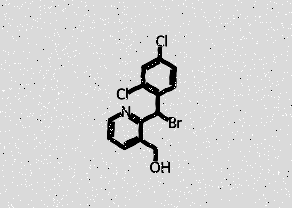 OCc1cccnc1C(Br)c1ccc(Cl)cc1Cl